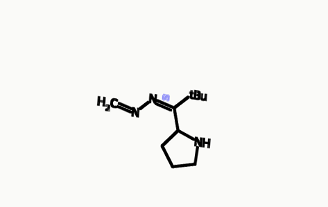 C=N/N=C(\C1CCCN1)C(C)(C)C